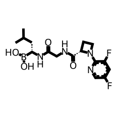 CC(C)C[C@H](NC(=O)CNC(=O)[C@@H]1CCN1c1ncc(F)cc1F)B(O)O